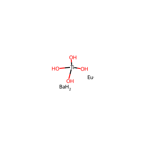 [BaH2].[Eu].[OH][Ti]([OH])([OH])[OH]